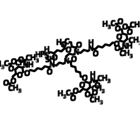 CCC(OC(=O)CCC(=O)C[SH](=P)=S)C(=O)N(CCCNC(=O)CCCCCO[C@@H]1OC(COC(C)=O)[C@H](OC(C)=O)[C@H](C)C1NC(C)=O)CCCN(CCCNC(=O)CCCCCO[C@@H]1OC(COC(C)=O)[C@H](OC(C)=O)[C@H](C)C1NC(C)=O)C(=O)CCCCCO[C@@H]1OC(COC(C)=O)[C@H](OC(C)=O)[C@H](C)C1NC(C)=O